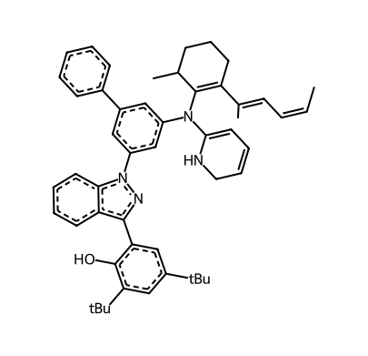 C/C=C\C=C(/C)C1=C(N(C2=CC=CCN2)c2cc(-c3ccccc3)cc(-n3nc(-c4cc(C(C)(C)C)cc(C(C)(C)C)c4O)c4ccccc43)c2)C(C)CCC1